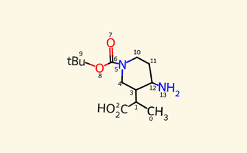 CC(C(=O)O)C1CN(C(=O)OC(C)(C)C)CCC1N